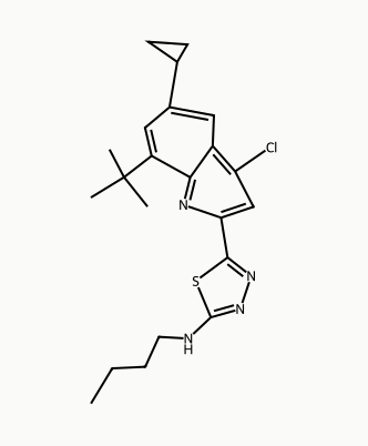 CCCCNc1nnc(-c2cc(Cl)c3cc(C4CC4)cc(C(C)(C)C)c3n2)s1